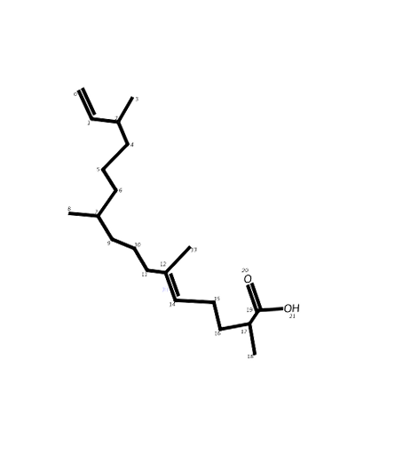 C=CC(C)CCCC(C)CCC/C(C)=C/CCC(C)C(=O)O